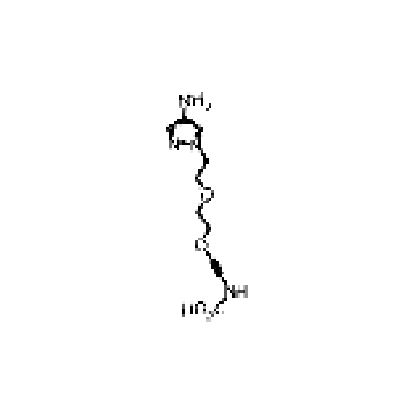 Nc1cnn(CCOCCOC#CNC(=O)O)c1